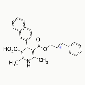 CC1=C(C(=O)O)C(c2ccc3ccccc3c2)C(C(=O)OC/C=C/c2ccccc2)=C(C)N1